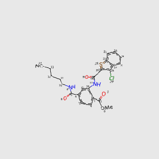 COC(=O)c1ccc(C(=O)NCCCCC#N)cc1NC(=O)c1sc2ccccc2c1Cl